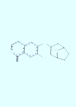 O=c1[nH]ccc2cc(OC3CC4CCC(C3)N4)c(Cl)cc12